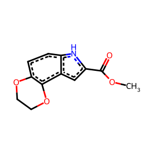 COC(=O)c1cc2c3c(ccc2[nH]1)OCCO3